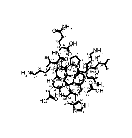 CC(C)[C@H](N)C(=O)N[C@@H](CC(N)=O)C(=O)N1CCC[C@H]1C(=O)N[C@@H](CCCCN)C(=O)N[C@@H](CC(=O)O)C(=O)N[C@@H](Cc1c[nH]cn1)C(=O)N[C@@H](CC(=O)O)C(=O)N[C@@H](CCCCN)C(=O)N1CCC[C@H]1C(=O)N[C@H](C(=O)N[C@@H](CCC(N)=O)C(=O)O)C(C)C